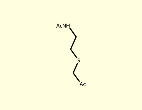 CC(=O)CSCCNC(C)=O